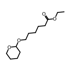 CCOC(=O)CCCCCOC1CCCCO1